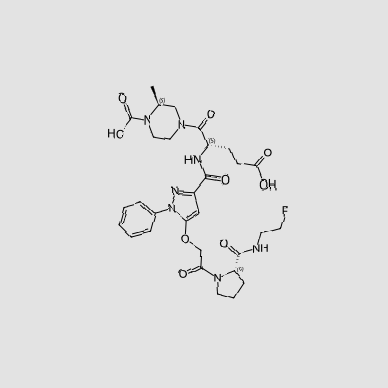 C[C@H]1CN(C(=O)[C@H](CCC(=O)O)NC(=O)c2cc(OCC(=O)N3CCC[C@H]3C(=O)NCCF)n(-c3ccccc3)n2)CCN1C(=O)O